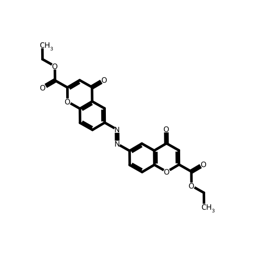 CCOC(=O)c1cc(=O)c2cc(N=Nc3ccc4oc(C(=O)OCC)cc(=O)c4c3)ccc2o1